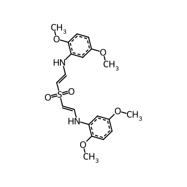 COc1ccc(OC)c(NC=CS(=O)(=O)C=CNc2cc(OC)ccc2OC)c1